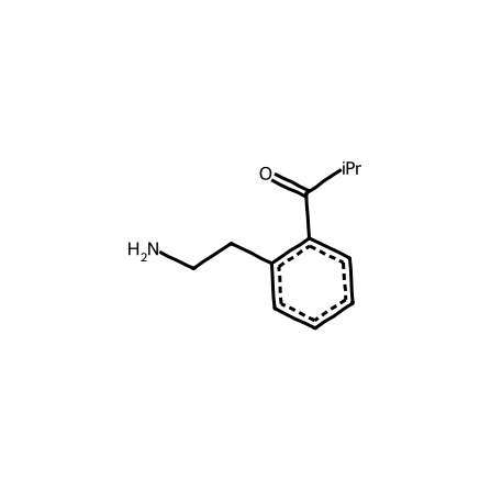 CC(C)C(=O)c1ccccc1CCN